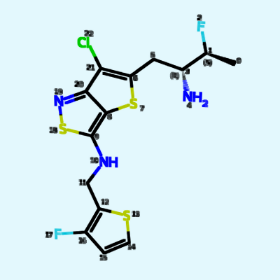 C[C@H](F)[C@H](N)Cc1sc2c(NCc3sccc3F)snc2c1Cl